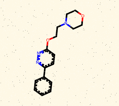 c1ccc(-c2ccc(OCCN3CCOCC3)nn2)cc1